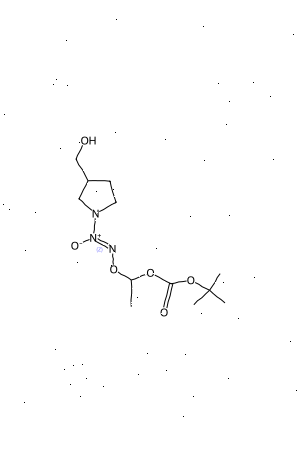 CC(O/N=[N+](\[O-])N1CCC(CO)C1)OC(=O)OC(C)(C)C